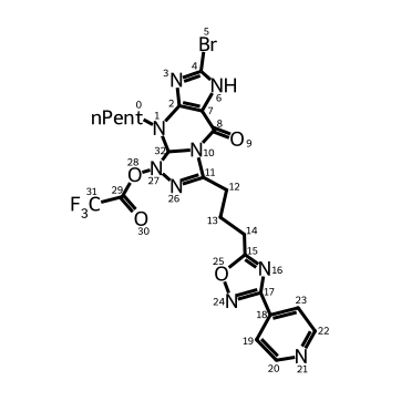 CCCCCN1c2nc(Br)[nH]c2C(=O)N2C(CCCc3nc(-c4ccncc4)no3)=NN(OC(=O)C(F)(F)F)C21